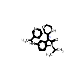 CC(Nc1ccc2c(c1)/C(=C1\COCCN1)C(=O)N2C(C)C)c1cccnc1